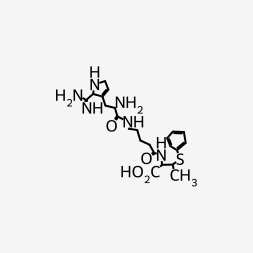 CC(Sc1ccccc1)C(NC(=O)CCCCNC(=O)C(N)CC1=CCNC1C(=N)N)C(=O)O